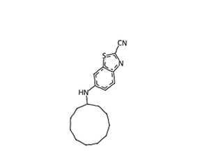 N#Cc1nc2ccc(NC3CCCCCCCCCC3)cc2s1